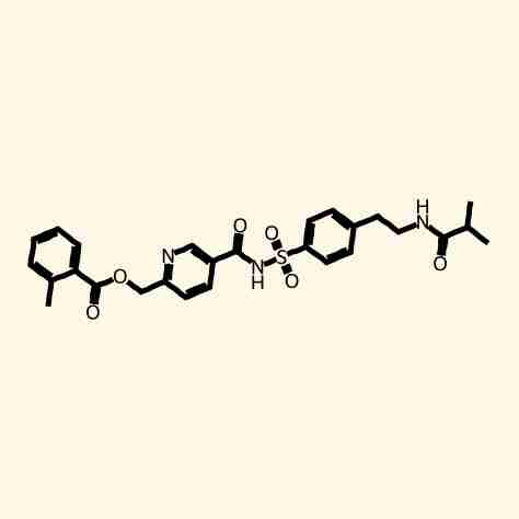 Cc1ccccc1C(=O)OCc1ccc(C(=O)NS(=O)(=O)c2ccc(CCNC(=O)C(C)C)cc2)cn1